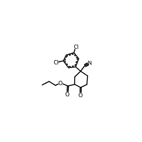 CCCOC(=O)C1CC(C#N)(c2cc(Cl)cc(Cl)c2)CCC1=O